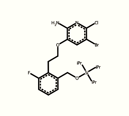 CC(C)[Si](OCc1cccc(F)c1CCOc1cc(Br)c(Cl)nc1N)(C(C)C)C(C)C